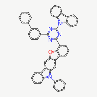 c1ccc(-c2cccc(-c3nc(-c4cccc5c4oc4cc6c7ccccc7n(-c7ccccc7)c6cc45)nc(-n4c5ccccc5c5ccccc54)n3)c2)cc1